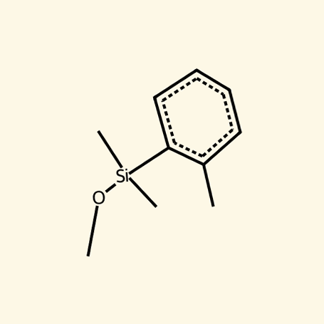 CO[Si](C)(C)c1ccccc1C